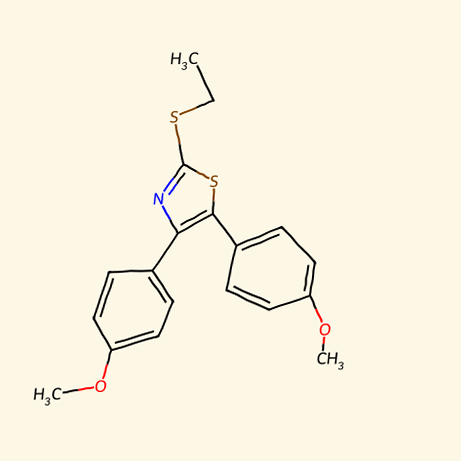 CCSc1nc(-c2ccc(OC)cc2)c(-c2ccc(OC)cc2)s1